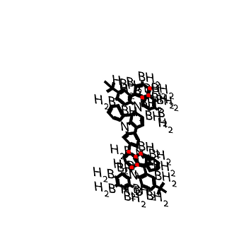 Bc1c(B)c(B)c(-c2c(B)c(C(C)(C)C)c(B)c(B)c2N(c2c(B)c(B)c(B)c(B)c2B)c2ccc3c4cc5c(cc4n4c6ccccc6c2c34)c2ccc(N(c3c(B)c(B)c(B)c(B)c3B)c3c(B)c(B)c(C(C)(C)C)c(B)c3-c3c(B)c(B)c(B)c(B)c3B)c3c4ccccc4n5c23)c(B)c1B